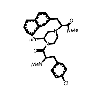 CCCC1CN(C(Cc2ccc3ccccc3c2)C(=O)NC)CCN1C(=O)C(Cc1ccc(Cl)cc1)NC